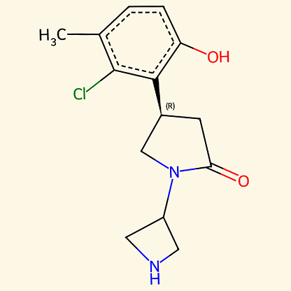 Cc1ccc(O)c([C@H]2CC(=O)N(C3CNC3)C2)c1Cl